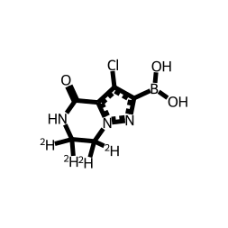 [2H]C1([2H])NC(=O)c2c(Cl)c(B(O)O)nn2C1([2H])[2H]